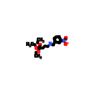 CCO[Si](CCCN=Cc1cccc([N+](=O)[O-])c1)(OCC)OCC